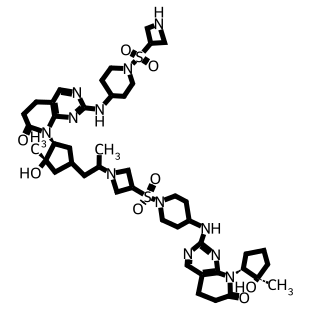 CC(CC1C[C@H](N2C(=O)CCc3cnc(NC4CCN(S(=O)(=O)C5CNC5)CC4)nc32)[C@@](C)(O)C1)N1CC(S(=O)(=O)N2CCC(Nc3ncc4c(n3)N([C@@H]3CCC[C@@]3(C)O)C(=O)CC4)CC2)C1